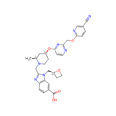 C[C@H]1C[C@@H](Oc2ccnc(COc3ccc(C#N)cn3)n2)CCN1Cc1nc2ccc(C(=O)O)cc2n1C[C@@H]1CCO1